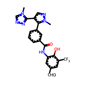 Cn1cnnc1-c1cnn(C)c1-c1cccc(C(=O)Nc2cc(C=O)cc(C(F)(F)F)c2O)c1